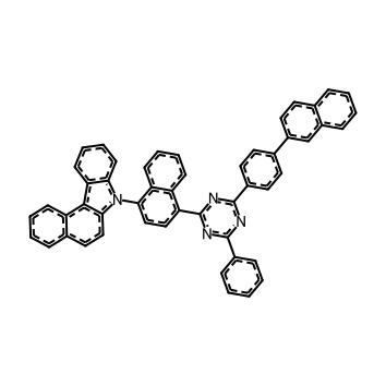 c1ccc(-c2nc(-c3ccc(-c4ccc5ccccc5c4)cc3)nc(-c3ccc(-n4c5ccccc5c5c6ccccc6ccc54)c4ccccc34)n2)cc1